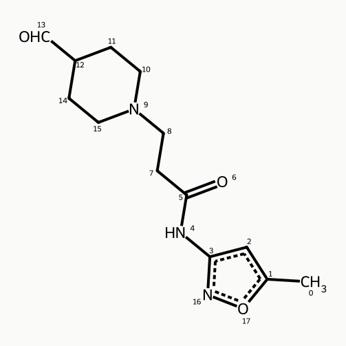 Cc1cc(NC(=O)CCN2CCC(C=O)CC2)no1